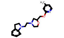 Cc1ccnc(OCC2CN(CCN3CCc4ccccc43)CCO2)c1